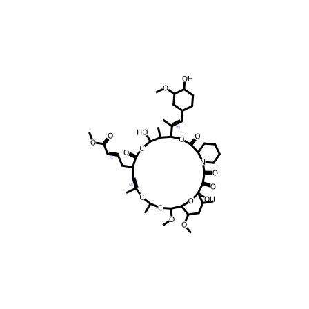 COC(=O)/C=C/CC1/C=C(/C)CC(C)CC(OC)C2OC(O)(C(=O)C(=O)N3CCCCC3C(=O)OC(/C(C)=C/C3CCC(O)C(OC)C3)C(C)C(O)CC1=O)C(C)CC2OC